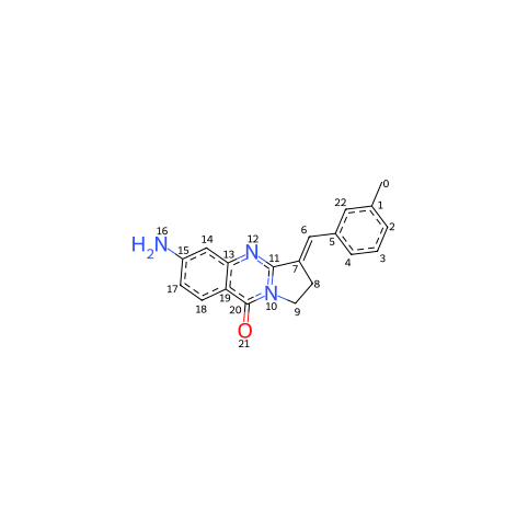 Cc1cccc(/C=C2\CCn3c2nc2cc(N)ccc2c3=O)c1